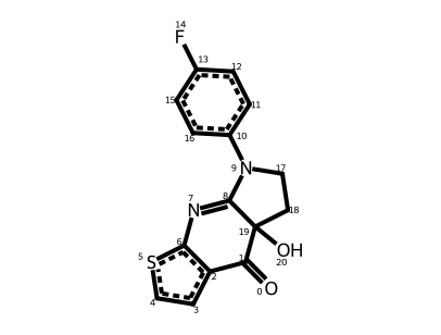 O=C1c2ccsc2N=C2N(c3ccc(F)cc3)CCC12O